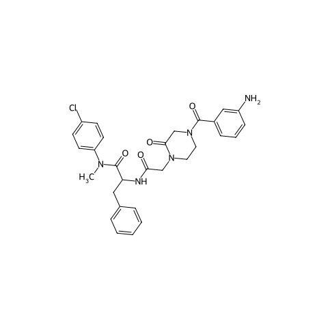 CN(C(=O)C(Cc1ccccc1)NC(=O)CN1CCN(C(=O)c2cccc(N)c2)CC1=O)c1ccc(Cl)cc1